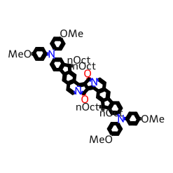 CCCCCCCCC1(CCCCCCCC)c2cc(N(c3ccc(OC)cc3)c3ccc(OC)cc3)ccc2-c2cc3c(cc21)C1=C2C(=O)N4C=Cc5cc6c(cc5C4=C2C(=O)N1C=C3)C(CCCCCCCC)(CCCCCCCC)c1cc(N(c2ccc(OC)cc2)c2ccc(OC)cc2)ccc1-6